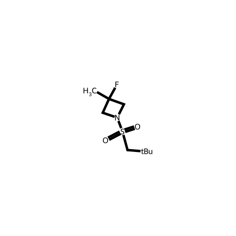 CC(C)(C)CS(=O)(=O)N1CC(C)(F)C1